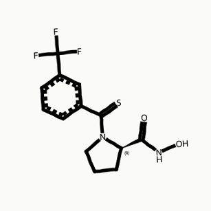 O=C(NO)[C@H]1CCCN1C(=S)c1cccc(C(F)(F)F)c1